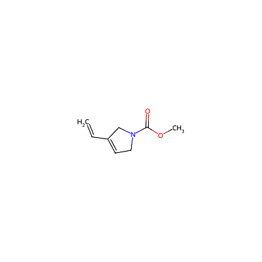 C=CC1=CCN(C(=O)OC)C1